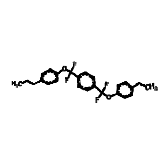 CCCc1ccc(OC(F)(F)c2ccc(C(F)(F)Oc3ccc(CC)cc3)cc2)cc1